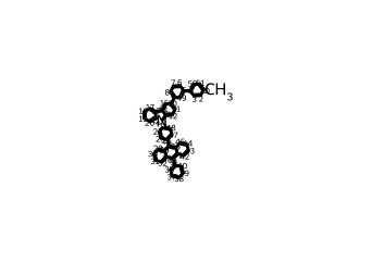 Cc1ccc(-c2cccc(-c3ccc4c(c3)c3ccccc3n4-c3ccc(-c4c5ccccc5c(-c5ccccc5)c5ccccc45)cc3)c2)cc1